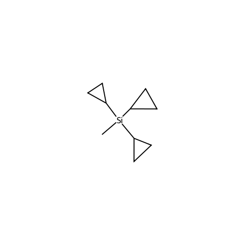 C[Si](C1CC1)(C1CC1)C1CC1